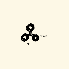 [Cl-].[Cl-].[Pd+2].c1ccc(P(c2ccccc2)[C]23[CH]4[CH]5[CH]6[CH]2[Fe]56432789[CH]3[CH]2[CH]7[C]8(P(c2ccccc2)c2ccccc2)[CH]39)cc1